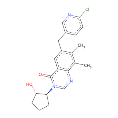 Cc1c(Cc2ccc(Cl)nc2)cc2c(=O)n([C@H]3CCC[C@@H]3O)cnc2c1C